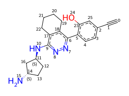 C#Cc1ccc(-c2nnc(N[C@H]3CC[C@H](N)C3)c3c2CCCC3)c(O)c1